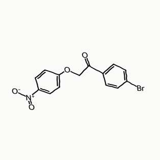 O=C(COc1ccc([N+](=O)[O-])cc1)c1ccc(Br)cc1